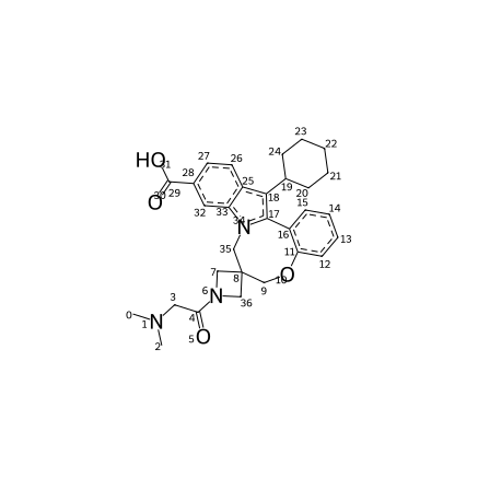 CN(C)CC(=O)N1CC2(COc3ccccc3-c3c(C4CCCCC4)c4ccc(C(=O)O)cc4n3C2)C1